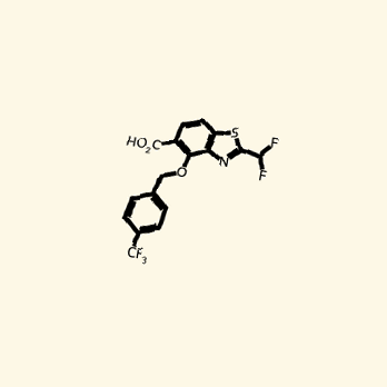 O=C(O)c1ccc2sc(C(F)F)nc2c1OCc1ccc(C(F)(F)F)cc1